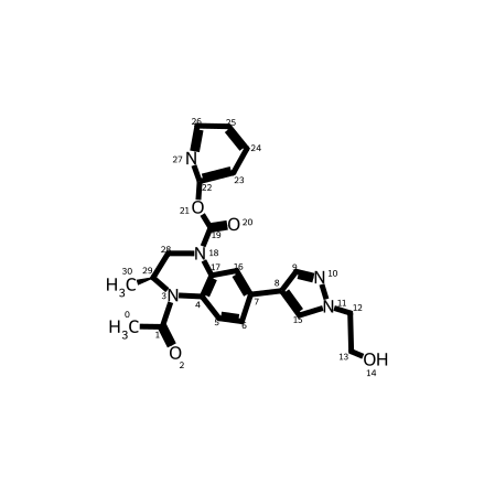 CC(=O)N1c2ccc(-c3cnn(CCO)c3)cc2N(C(=O)Oc2ccccn2)C[C@@H]1C